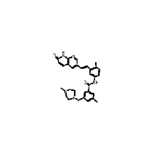 Cc1cc(CN2CCN(C)CC2)cc(C(=O)Nc2ccc(C)c(/C=C/c3cnc4[nH]c(=O)ccc4c3)c2)c1